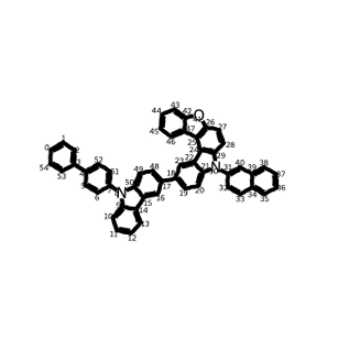 c1ccc(-c2ccc(-n3c4ccccc4c4cc(-c5ccc6c(c5)c5c7c(ccc5n6-c5ccc6ccccc6c5)oc5ccccc57)ccc43)cc2)cc1